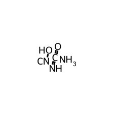 N.N#CO.N=C=O